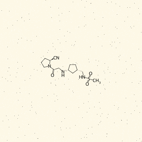 CS(=O)(=O)NC[C@H]1CC[C@@H](NCC(=O)N2CCC[C@H]2C#N)C1